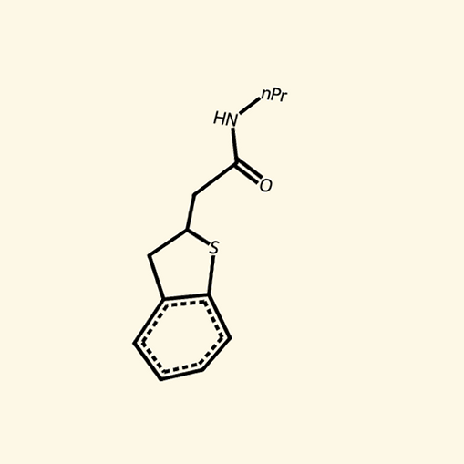 CCCNC(=O)CC1Cc2ccccc2S1